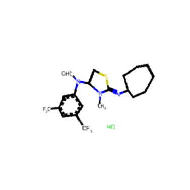 CN1C(=NC2CCCCCC2)SCC1N(C=O)c1cc(C(F)(F)F)cc(C(F)(F)F)c1.Cl